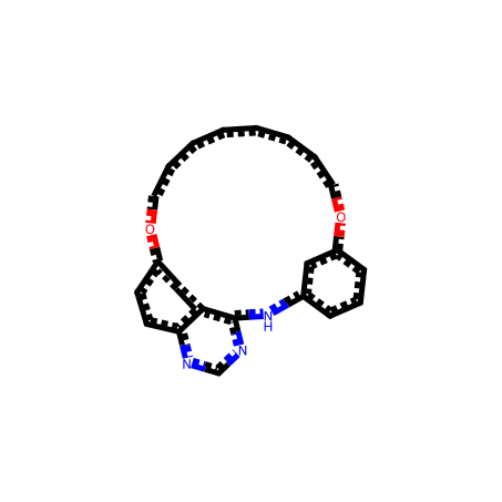 c1ccccoc2ccc3ncnc([nH]c4cccc(c4)occc1)c3c2